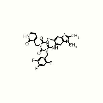 Cc1nc2cc(Cl)c(Nc3nc(=O)n(Cc4ccc[nH]c4=O)c(=O)n3Cc3cc(F)c(F)cc3F)cc2n1C